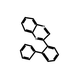 c1ccc(-c2ccccc2-c2cnc3ccccc3n2)cc1